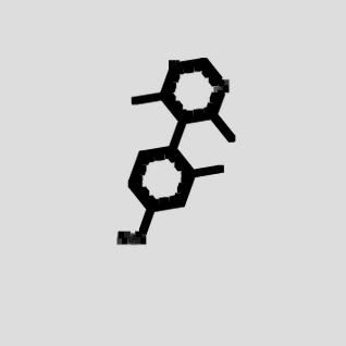 CNc1ccc(-c2c(C)ncnc2C)c(C)c1